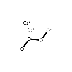 [Cs+].[Cs+].[O-]OO[O-]